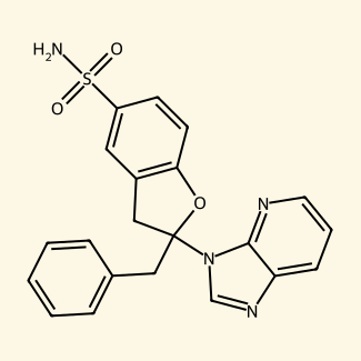 NS(=O)(=O)c1ccc2c(c1)CC(Cc1ccccc1)(n1cnc3cccnc31)O2